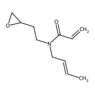 C=CC(=O)N(CC=CC)CCC1CO1